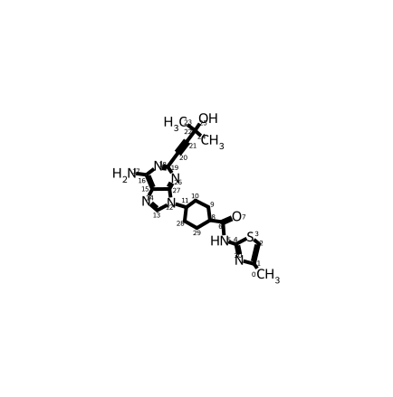 Cc1csc(NC(=O)C2CCC(n3cnc4c(N)nc(C#CC(C)(C)O)nc43)CC2)n1